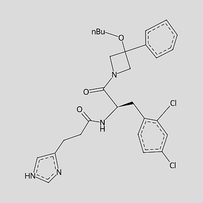 CCCCOC1(c2ccccc2)CN(C(=O)[C@@H](Cc2ccc(Cl)cc2Cl)NC(=O)CCc2c[nH]cn2)C1